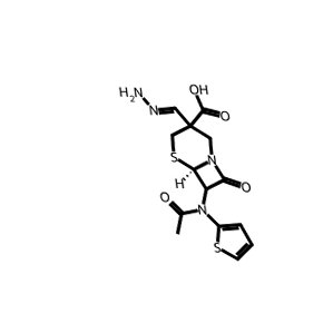 CC(=O)N(c1cccs1)C1C(=O)N2CC(C=NN)(C(=O)O)CS[C@H]12